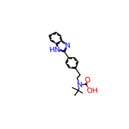 CC(C)(C)N(CCc1ccc(-c2nc3ccccc3[nH]2)cc1)C(=O)O